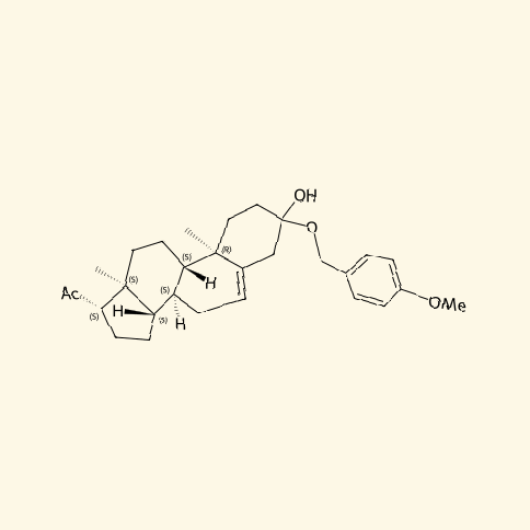 COc1ccc(COC2(O)CC[C@@]3(C)C(=CC[C@H]4[C@@H]5CC[C@H](C(C)=O)[C@@]5(C)CC[C@@H]43)C2)cc1